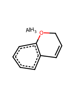 C1=Cc2ccccc2OC1.[AlH3]